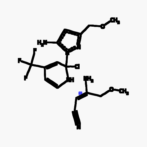 COC/C(N)=C\C#N.COCc1cc(N)n(C2(Cl)C=C(C(F)(F)F)C=CN2)n1